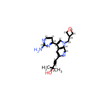 CC(C)(O)C#Cc1cc2c(-c3ccnc(N)n3)cn(CC3COC3)c2cn1